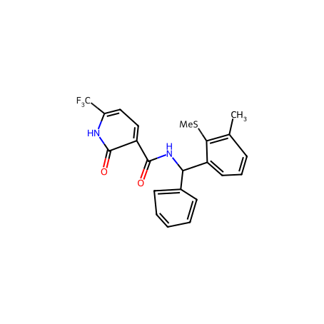 CSc1c(C)cccc1C(NC(=O)c1ccc(C(F)(F)F)[nH]c1=O)c1ccccc1